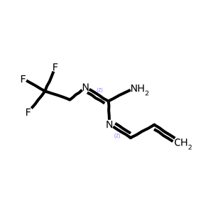 C=C/C=N\C(N)=N/CC(F)(F)F